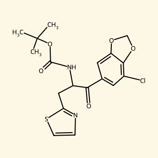 CC(C)(C)OC(=O)NC(Cc1nccs1)C(=O)c1cc(Cl)c2c(c1)OCO2